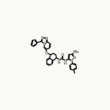 Cc1ccc(-n2nc(C(C)(C)C)cc2NC(=O)NC2CCC(Oc3ccc4nnc(-c5ccccc5)n4c3)c3ccccc32)cc1